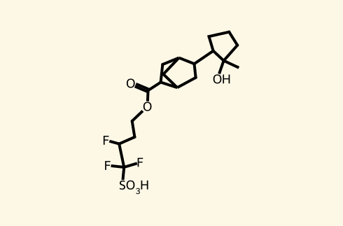 CC1(O)CCCC1C1CC2CC1CC2C(=O)OCCC(F)C(F)(F)S(=O)(=O)O